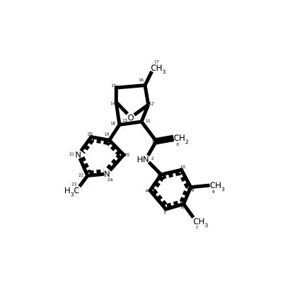 C=C(Nc1ccc(C)c(C)c1)C1C2OC(CC2C)C1c1cnc(C)nc1